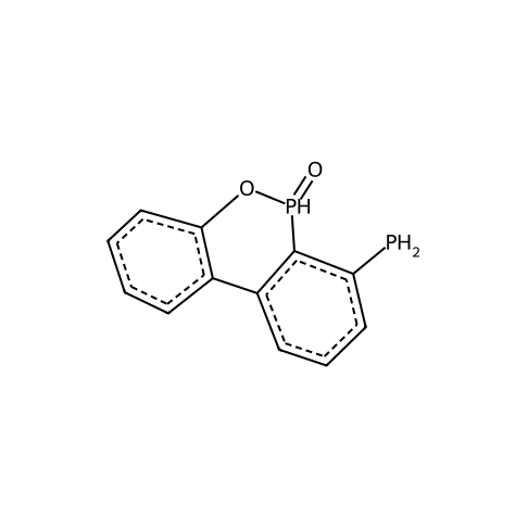 O=[PH]1Oc2ccccc2-c2cccc(P)c21